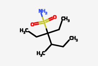 CCC(C)C(CC)(CC)S(N)(=O)=O